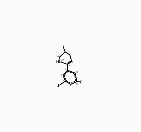 CC1CC=C(c2cc(F)cc(F)c2)NC1